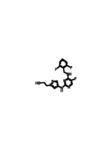 OCCn1cc(Nc2ncc(F)c(NCc3c(F)cccc3F)n2)cn1